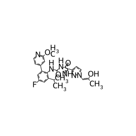 COc1cc(-c2cc(F)cc(C(C)C)c2NC(=O)NS(=N)(=O)c2ccn(/C=C(/C)O)n2)ccn1